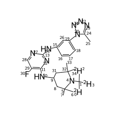 [2H]C([2H])([2H])N1C(C)(C)CC(Nc2nc(Nc3cccc(-n4nnnc4C)c3)ncc2F)CC1(C)C